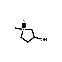 CS1(#N)CCC(O)C1